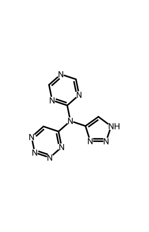 c1ncnc(N(c2cnnnn2)c2c[nH]nn2)n1